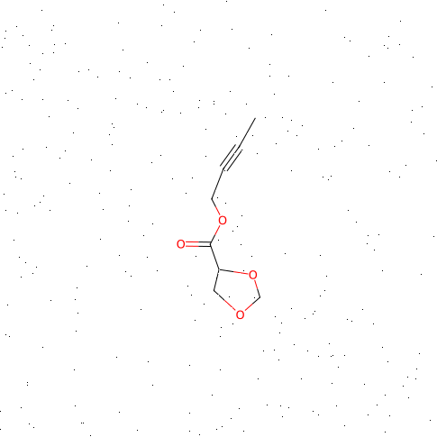 CC#CCOC(=O)C1COCO1